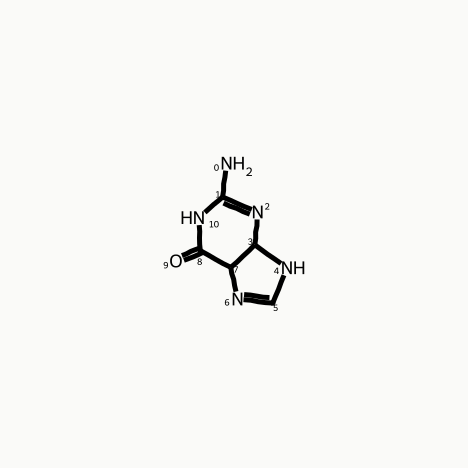 NC1=NC2NC=NC2C(=O)N1